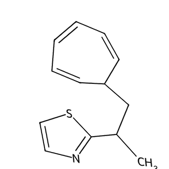 CC(CC1C=CC=CC=C1)c1nccs1